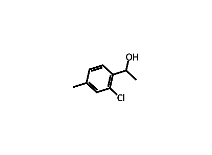 Cc1ccc(C(C)O)c(Cl)c1